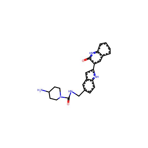 NC1CCN(C(=O)NCc2ccc3[nH]c(-c4cc5ccccc5[nH]c4=O)cc3c2)CC1